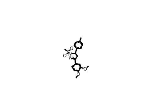 COc1ccc(C2=NN(S(C)(=O)=O)C(c3ccc(C)cc3)C2)cc1OC